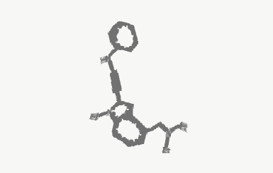 CCN(CC)Cc1cccc2c1cc(C#CNc1ccccc1)n2CC